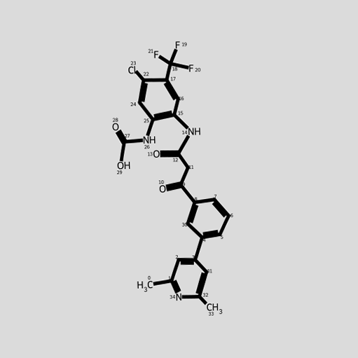 Cc1cc(-c2cccc(C(=O)CC(=O)Nc3cc(C(F)(F)F)c(Cl)cc3NC(=O)O)c2)cc(C)n1